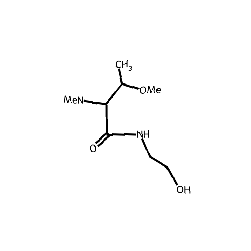 CNC(C(=O)NCCO)C(C)OC